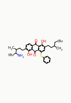 CC(CCc1cc(Sc2ccccc2)c2c(c1O)C(=O)c1ccc(CCC(C)C(N)C(C)(C)C)c(O)c1C2=O)CC(C)(C)C